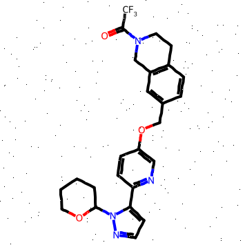 O=C(N1CCc2ccc(COc3ccc(-c4ccnn4C4CCCCO4)nc3)cc2C1)C(F)(F)F